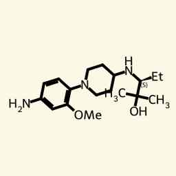 CC[C@H](NC1CCN(c2ccc(N)cc2OC)CC1)C(C)(C)O